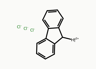 [Cl-].[Cl-].[Cl-].[Hf+3][CH]1c2ccccc2-c2ccccc21